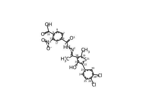 C/C(=N\NC(=O)c1ccc(C(=O)O)c([N+](=O)[O-])c1)c1c(C)sc(-c2ccc(Cl)c(Cl)c2)c1O